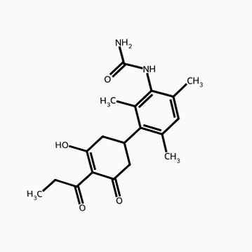 CCC(=O)C1=C(O)CC(c2c(C)cc(C)c(NC(N)=O)c2C)CC1=O